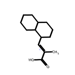 C/C(=C\C1CCCC2CCCCC12)C(=O)O